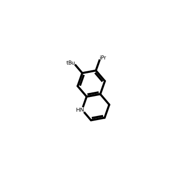 CC(C)c1cc2c(cc1C(C)(C)C)NC=CC2